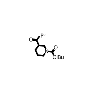 CC(C)COC(=O)N1CCCC(C(=O)C(C)C)C1